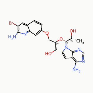 C[C@@H](O)[C@@H](O[C@@H](CO)COc1ccc2cc(Br)c(N)nc2c1)n1ccc2c(N)ncnc21